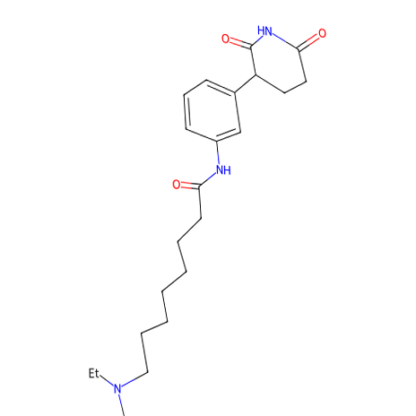 CCN(CC)CCCCCCCC(=O)Nc1cccc(C2CCC(=O)NC2=O)c1